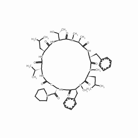 CC(C)C[C@@H]1NC(=O)[C@@H](C(C)C)NC(=O)C[C@@H](C(=O)N2CCCCC2)NC(=O)[C@H](Cc2ccccc2)N(C)C(=O)[C@H](CC(C)C)N(C)C(=O)[C@H](Cc2ccccc2)NC(=O)[C@H](C)N(C)C(=O)[C@H]([C@@H](C)O)NC1=O